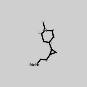 CNCCC1CC1C1CCN(C)CC1